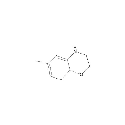 CC1=CCC2OCCNC2=C1